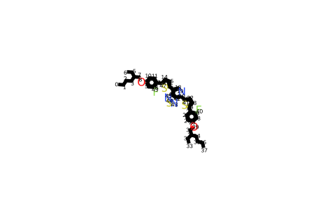 CCCCC(CC)COc1ccc(-c2ccc(-c3cnc(-c4ccc(-c5ccc(OCC(CC)CCCC)cc5F)s4)c4nsnc34)s2)c(F)c1